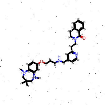 CN1CC(C)(C)CN(C)c2cc(OCCCNCc3ccnc(CCN4CCc5ccccc5C4=O)c3)ccc21